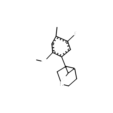 COc1cc(C)c(F)cc1C1CN2CCC1CC2